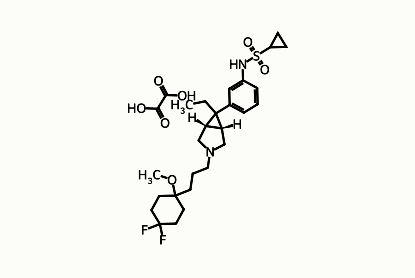 CCC1(c2cccc(NS(=O)(=O)C3CC3)c2)[C@@H]2CN(CCCC3(OC)CCC(F)(F)CC3)C[C@@H]21.O=C(O)C(=O)O